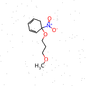 COCCCOC1([N+](=O)[O-])C=CC=CC1